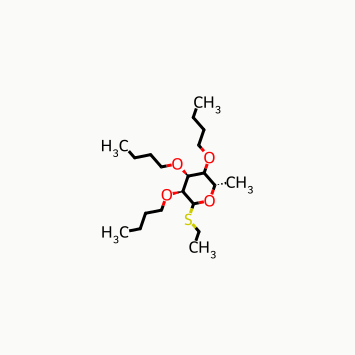 CCCCOC1[C@H](C)OC(SCC)[C@@H](OCCCC)[C@H]1OCCCC